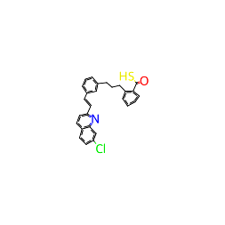 O=C(S)c1ccccc1CCCc1cccc(/C=C/c2ccc3ccc(Cl)cc3n2)c1